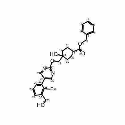 O=C(OCc1ccccc1)N1CCC(O)(COc2ncc(-c3cccc(CO)c3F)cn2)CC1